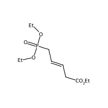 CCOC(=O)CC=CCP(=O)(OCC)OCC